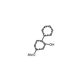 COc1ccc(-c2c[c]ccc2)c(O)c1